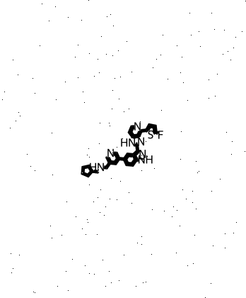 Fc1ccc(-c2nccc3[nH]c(-c4n[nH]c5ccc(-c6cncc(CNCC7CCCC7)c6)cc45)nc23)s1